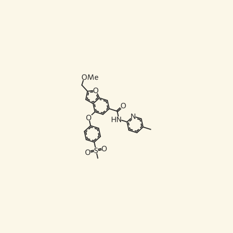 COCc1cc2c(Oc3ccc(S(C)(=O)=O)cc3)cc(C(=O)Nc3ccc(C)cn3)cc2o1